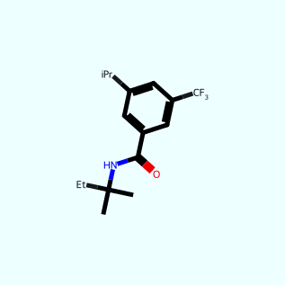 CCC(C)(C)NC(=O)c1cc(C(C)C)cc(C(F)(F)F)c1